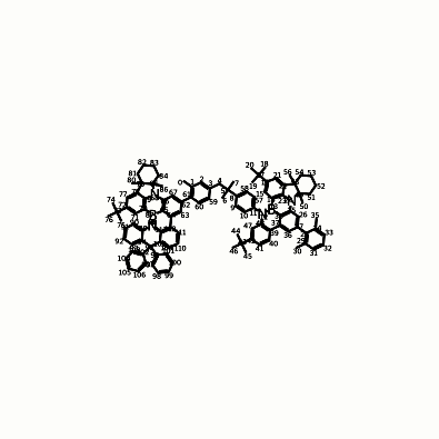 Cc1cc(CC(C)(C)c2ccc(N3B4c5cc(C(C)(C)C)cc6c5N(c5cc(-c7c(C)cccc7C)cc(c54)-c4ccc(C(C)(C)C)cc43)C3(C)CCCCC63C)cc2)ccc1-c1cc2c3c(c1)N1c4c(cc(C(C)(C)C)cc4C4(C)CCCCC14C)B3N1c3ccccc3C(c3ccccc3)(c3ccccc3)c3cccc-2c31